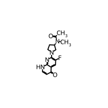 CC(=O)N(C)C1CCN(c2nc3[nH]ccc(=O)c3cc2F)C1